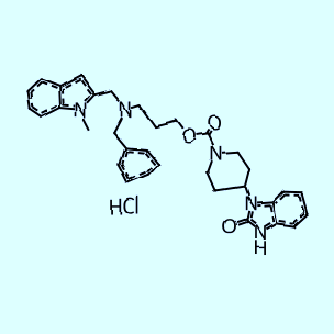 Cl.Cn1c(CN(CCCOC(=O)N2CCC(n3c(=O)[nH]c4ccccc43)CC2)Cc2ccccc2)cc2ccccc21